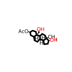 CC(=O)O[C@H]1CC[C@@]2(CO)C(=CC[C@@H]3[C@@H]2CC[C@]2(C)[C@@H](O)CC[C@@H]32)C1